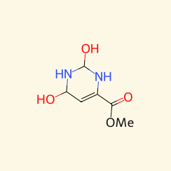 COC(=O)C1=CC(O)NC(O)N1